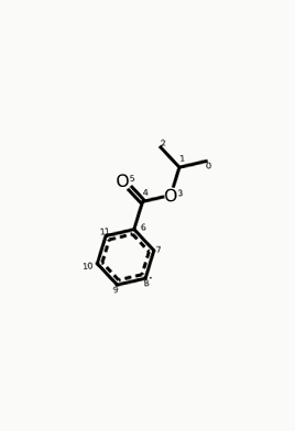 CC(C)OC(=O)c1c[c]ccc1